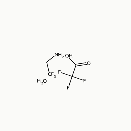 NCC(F)(F)F.O.O=C(O)C(F)(F)F